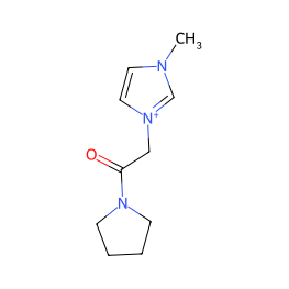 Cn1cc[n+](CC(=O)N2CCCC2)c1